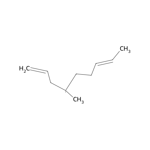 C=CC[C](C)CCC=CC